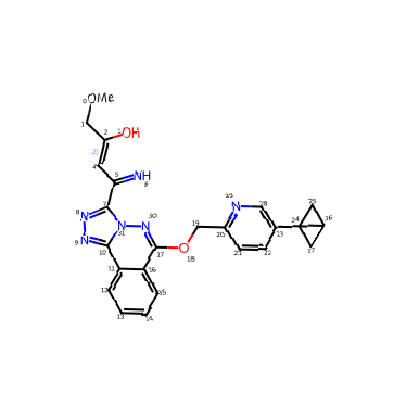 COC/C(O)=C/C(=N)c1nnc2c3ccccc3c(OCc3ccc(C45CC4C5)cn3)nn12